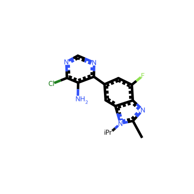 Cc1nc2c(F)cc(-c3ncnc(Cl)c3N)cc2n1C(C)C